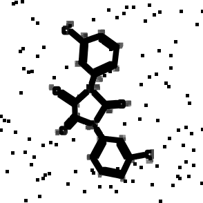 O=C1C(=O)N(c2cccc(Cl)c2)C(=O)N1c1cccc(Cl)c1